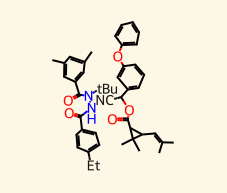 CC(C)=CC1C(C(=O)OC(C#N)c2cccc(Oc3ccccc3)c2)C1(C)C.CCc1ccc(C(=O)NN(C(=O)c2cc(C)cc(C)c2)C(C)(C)C)cc1